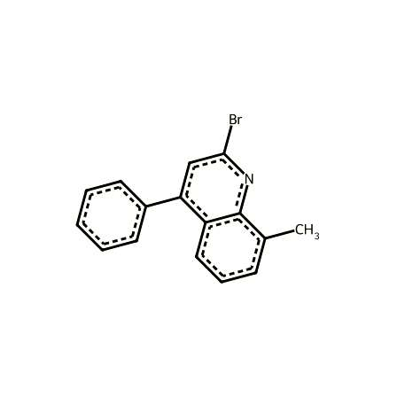 Cc1cccc2c(-c3ccccc3)cc(Br)nc12